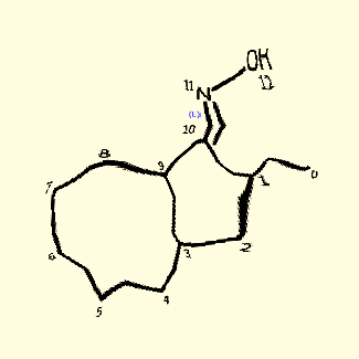 CC1CC2CCCCCC2/C1=N/O